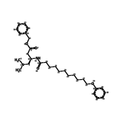 CN(C)C[C@@H](CC(=O)OCc1ccccc1)NC(=O)CCCCCCCCCCOc1ccccc1